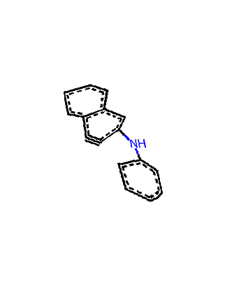 c1c(Nc2ccccc2)cc2ccccc2c#1